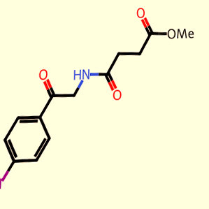 COC(=O)CCC(=O)NCC(=O)c1ccc(I)cc1